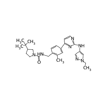 CCn1cc(Nc2nccc(-c3ccc(CNC(=O)N4CCC(C(C)(C)C)C4)c(C)c3)n2)cn1